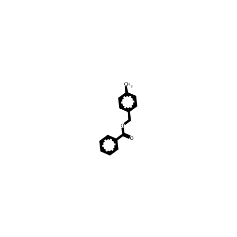 Cc1ccc(COC(=O)c2ccccc2)cc1